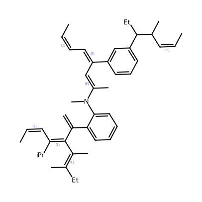 C=C(C(/C(C)=C(\C)CC)=C(\C=C/C)C(C)C)c1ccccc1N(C)/C(C)=C/C(=C\C=C/C)c1cccc(C(CC)C(C)/C=C\C)c1